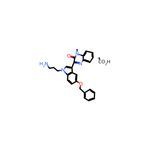 CC(=O)O.Cn1c(=O)c(-c2cn(CCCN)c3ccc(OCc4ccccc4)cc23)nc2ccccc21